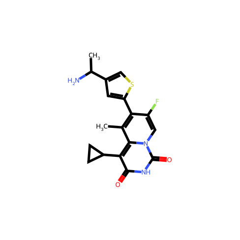 Cc1c(-c2cc(C(C)N)cs2)c(F)cn2c(=O)[nH]c(=O)c(C3CC3)c12